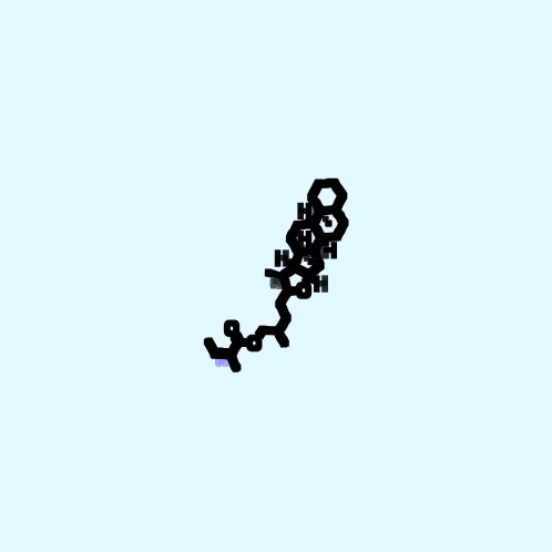 C/C=C(/C)C(=O)OCC(C)CCC1O[C@H]2C[C@H]3[C@@H]4CCC5CCCC[C@]5(C)[C@H]4CC[C@]3(C)[C@H]2[C@@H]1C